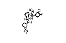 O/N=C(/Nc1ccc(F)c(Cl)c1)c1ccnc2nc(N[C@@H]3CCCN(C4COC4)C3)[nH]c12